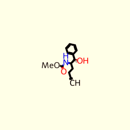 C#CCCC(NC(=O)OC)[C@H](O)c1ccccc1